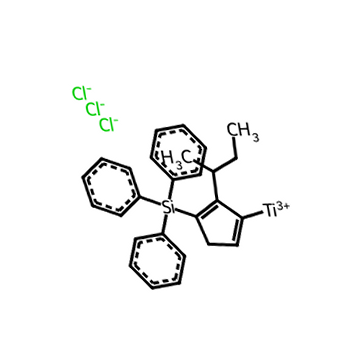 CCC(C)C1=C([Si](c2ccccc2)(c2ccccc2)c2ccccc2)CC=[C]1[Ti+3].[Cl-].[Cl-].[Cl-]